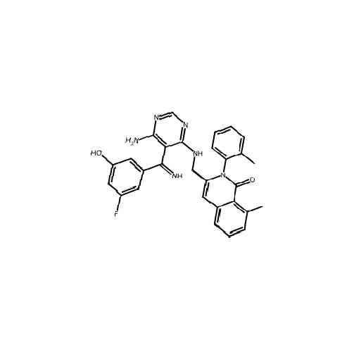 Cc1ccccc1-n1c(CNc2ncnc(N)c2C(=N)c2cc(O)cc(F)c2)cc2cccc(C)c2c1=O